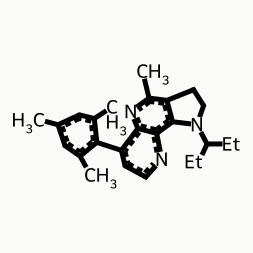 CCC(CC)N1CCc2c(C)nc3c(-c4c(C)cc(C)cc4C)ccnc3c21